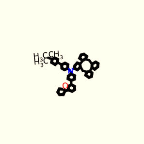 CC(C)(C)c1ccc(-c2ccc(N(c3ccc(-c4cccc5c4oc4ccccc45)cc3)c3ccc4c(c3)Cc3ccccc3-c3ccccc3Cc3ccccc3-4)cc2)cc1